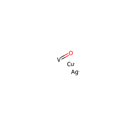 [Ag].[Cu].[O]=[V]